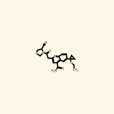 CCOC1(c2ccc3nc(CC(=O)N4CSCC4C#N)cc(C(N)=O)c3c2)CC1